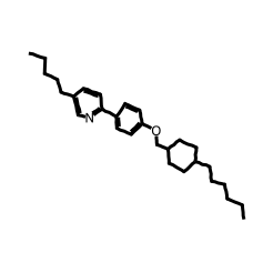 CCCCCCC1CCC(COc2ccc(-c3ccc(CCCCC)cn3)cc2)CC1